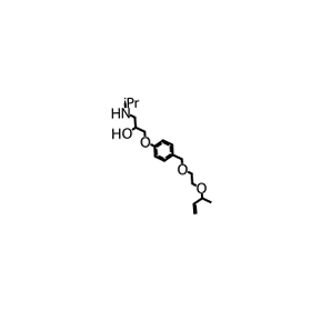 C=CC(C)OCCOCc1ccc(OCC(O)CNC(C)C)cc1